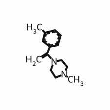 C=C(c1cccc(C)c1)N1CCN(C)CC1